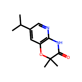 CC(C)c1cnc2c(c1)OC(C)(C)C(=O)N2